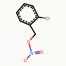 O=[N+]([O-])OCc1ccccc1Cl